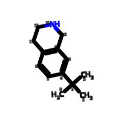 CC(C)(C)c1ccc2c(c1)CNCC2